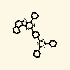 c1ccc(-c2nc(-c3ccccc3)nc(-c3ccc(-c4nc(-c5ccccc5)c5sc6ccc7ccccc7c6c5n4)cc3)n2)cc1